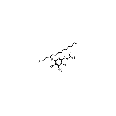 CCCCCCCOCCCCCCC.Nc1c(Cl)c(F)nc(OCC(=O)O)c1Cl